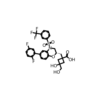 O=C(O)C1(C[C@H]2CN(S(=O)(=O)c3cccc(C(F)(F)F)c3)c3cc(-c4cc(F)ccc4F)ccc3O2)CC(O)(CO)C1